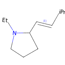 CCN1CCCC1/C=C/C(C)C